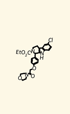 CCOC(=O)N1CCc2c([nH]c3ccc(Cl)cc23)C1c1ccc(OCC(=O)N2CCOCC2)cc1